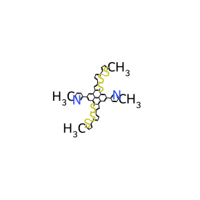 Cc1ccc(-c2cc3c4cc(-c5ccc(-c6ccc(C)s6)s5)sc4c4cc(-c5ccc(C)nc5)cc5c6cc(-c7ccc(-c8ccc(C)s8)s7)sc6c(c2)c3c54)cn1